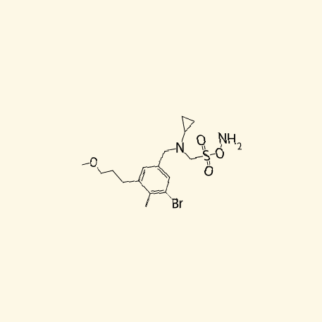 COCCCc1cc(CN(CS(=O)(=O)ON)C2CC2)cc(Br)c1C